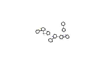 CC1(C)c2cc(-n3c4ccccc4c4cc(-c5ccc6c7ccccc7n(-c7ccc(-c8ccccc8)cc7)c6c5)ccc43)ccc2-c2ccc3sc4ccccc4c3c21